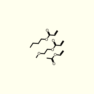 C=CC(=O)OCCCC.C=CC(=O)OCCOC.C=COC(C)=O